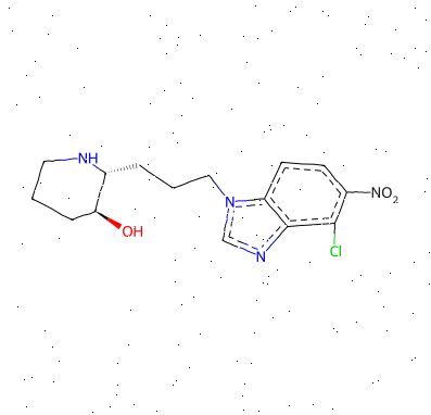 O=[N+]([O-])c1ccc2c(ncn2CCC[C@H]2NCCC[C@@H]2O)c1Cl